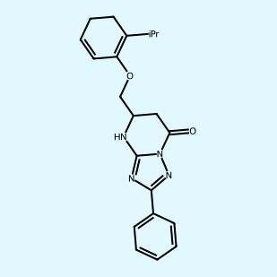 CC(C)C1=C(OCC2CC(=O)n3nc(-c4ccccc4)nc3N2)C=CCC1